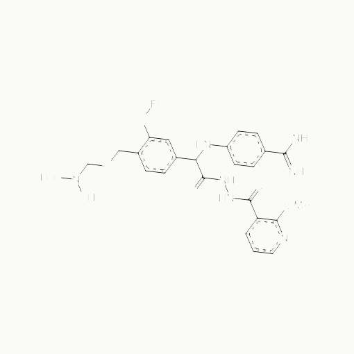 CCOc1cc(C(Nc2ccc(C(=N)N)cc2)C(=O)NNC(=O)c2cccnc2OC)ccc1COCN(C)C